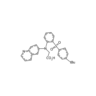 CC(C)(C)c1ccc(S(=O)(=O)c2ccccc2N(CC(=O)O)c2ccc3ncccc3c2)cc1